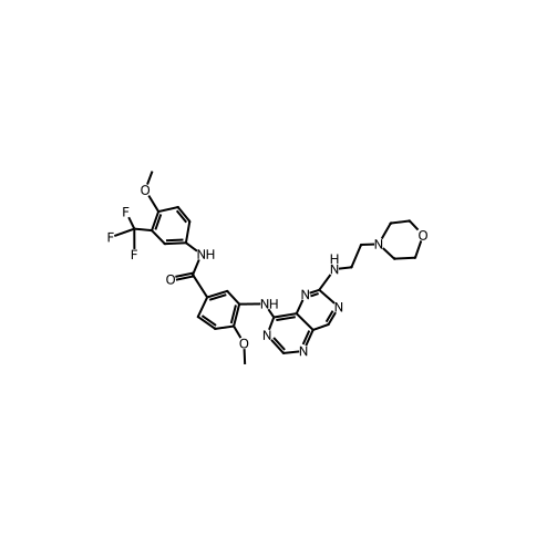 COc1ccc(C(=O)Nc2ccc(OC)c(C(F)(F)F)c2)cc1Nc1ncnc2cnc(NCCN3CCOCC3)nc12